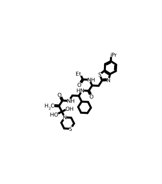 C=C(C(=O)NCC(NC(=O)C(Cc1nc2ccc(C(C)C)cc2s1)NC(=O)CC)C1CCCCC1)C(O)(O)N1CCSCC1